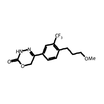 COCCCc1ccc(C2=NNC(=O)OC2)cc1C(F)(F)F